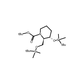 CC(C)(C)OC(=O)N1CCC[C@H](O[Si](C)(C)C(C)(C)C)[C@H]1CO[Si](C)(C)C(C)(C)C